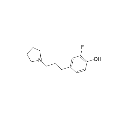 Oc1ccc(CCCN2CCCC2)cc1F